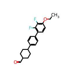 CCOc1ccc(-c2ccc(C3CCC(C=O)CC3)cc2)c(F)c1F